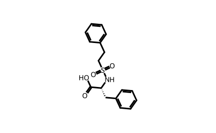 O=C(O)[C@@H](Cc1ccccc1)NS(=O)(=O)CCc1ccccc1